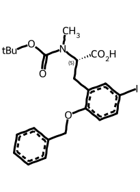 CN(C(=O)OC(C)(C)C)[C@@H](Cc1cc(I)ccc1OCc1ccccc1)C(=O)O